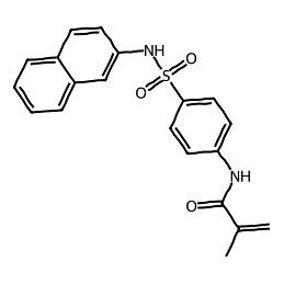 C=C(C)C(=O)Nc1ccc(S(=O)(=O)Nc2ccc3ccccc3c2)cc1